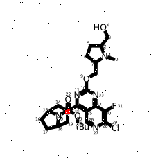 CN1C(CO)CCC1COc1nc(N2CC3CCC(C2)N3C(=O)OC(C)(C)C)c2cnc(Cl)c(F)c2n1